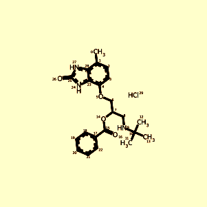 Cc1ccc(OCC(CNC(C)(C)C)OC(=O)c2ccccc2)c2[nH]c(=O)[nH]c12.Cl